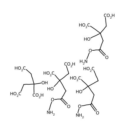 NOC(=O)CC(O)(CC(=O)O)C(=O)O.NOC(=O)CC(O)(CC(=O)O)C(=O)O.NOC(=O)CC(O)(CC(=O)O)C(=O)O.O=C(O)CC(O)(CC(=O)O)C(=O)O